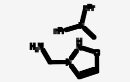 CCCN(C)CCC.NCN1C=CON1